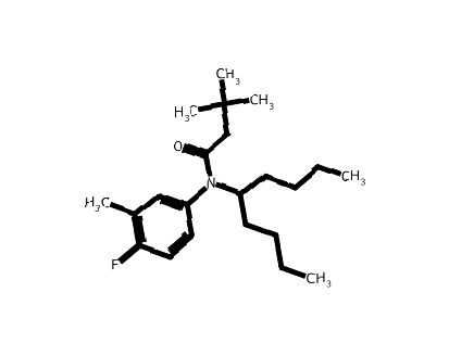 CCCCC(CCCC)N(C(=O)CC(C)(C)C)c1ccc(F)c(C)c1